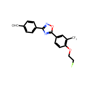 O=Cc1ccc(-c2noc(-c3ccc(OCCF)c(C(F)(F)F)c3)n2)cc1